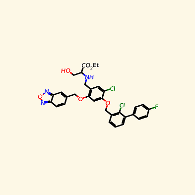 CCOC(=O)C(CO)NCc1cc(Cl)c(OCc2cccc(-c3ccc(F)cc3)c2Cl)cc1OCc1ccc2nonc2c1